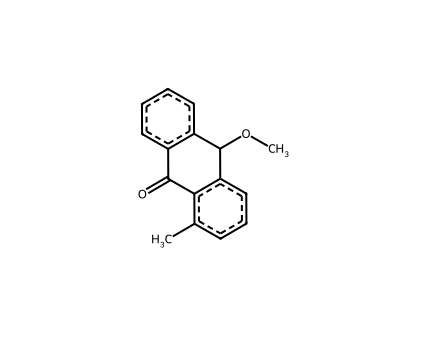 COC1c2ccccc2C(=O)c2c(C)cccc21